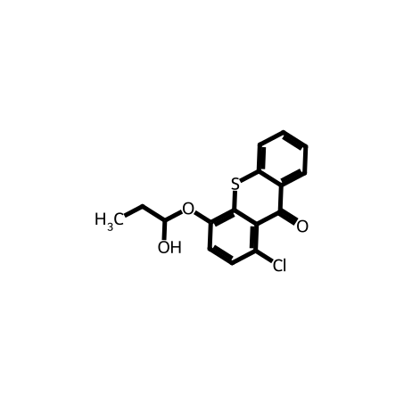 CCC(O)Oc1ccc(Cl)c2c(=O)c3ccccc3sc12